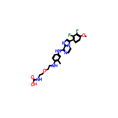 COc1ccc(-c2cnc3c(Nc4ccc(NCCOCCNC(=O)O)c(C)c4)nccn23)c(F)c1F